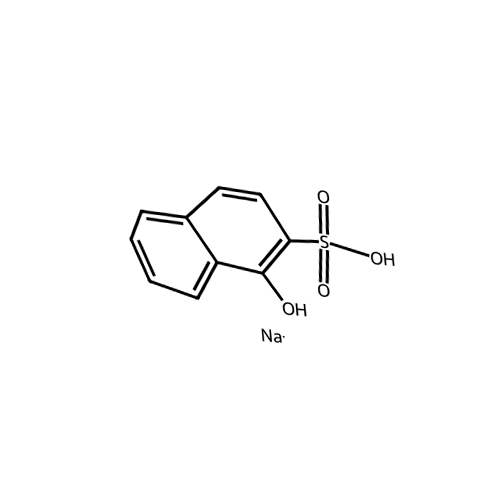 O=S(=O)(O)c1ccc2ccccc2c1O.[Na]